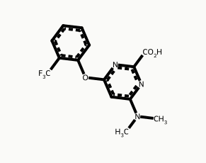 CN(C)c1cc(Oc2ccccc2C(F)(F)F)nc(C(=O)O)n1